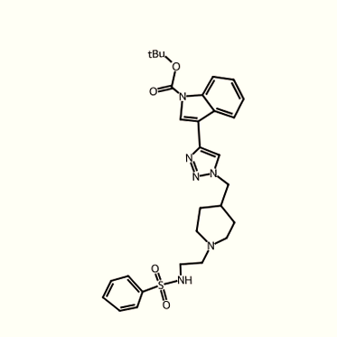 CC(C)(C)OC(=O)n1cc(-c2cn(CC3CCN(CCNS(=O)(=O)c4ccccc4)CC3)nn2)c2ccccc21